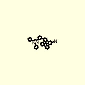 N#Cc1ccc2c(c1)-c1ccc(-c3cccc(-c4cc(-c5ccccc5)nc(-c5ccccc5)n4)c3)cc1C21c2ccccc2-c2ccccc21